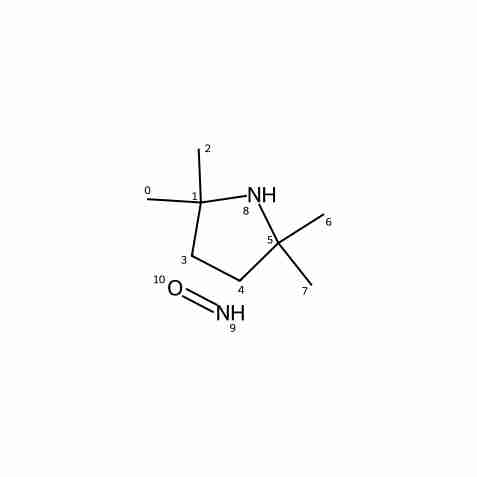 CC1(C)CCC(C)(C)N1.N=O